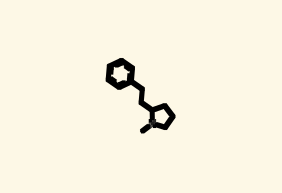 CN1CCCC1CCc1ccccc1